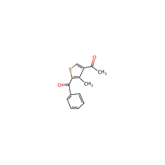 CC(=O)c1csc(C(=O)c2ccccc2)c1C